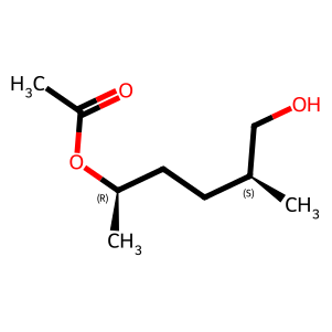 CC(=O)O[C@H](C)CC[C@H](C)CO